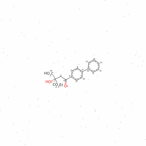 CCOC(=O)C(O)(CC(=O)c1ccc(-c2ccccc2)cc1)C(=O)O